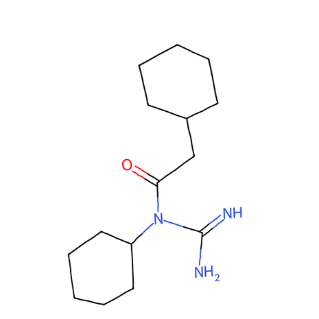 N=C(N)N(C(=O)CC1CCCCC1)C1CCCCC1